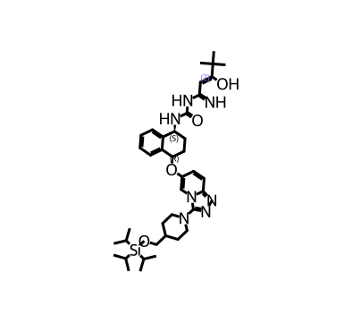 CC(C)[Si](OCC1CCN(c2nnc3ccc(O[C@@H]4CC[C@H](NC(=O)NC(=N)/C=C(\O)C(C)(C)C)c5ccccc54)cn23)CC1)(C(C)C)C(C)C